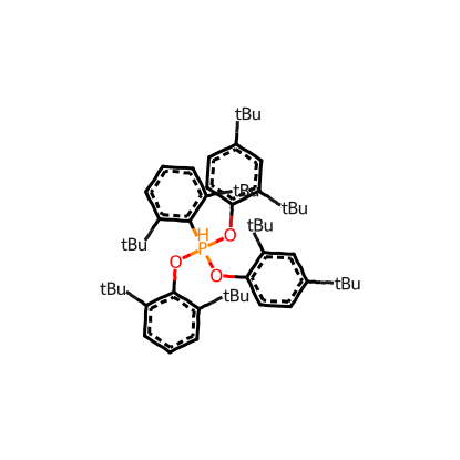 CC(C)(C)c1ccc(O[PH](Oc2ccc(C(C)(C)C)cc2C(C)(C)C)(Oc2c(C(C)(C)C)cccc2C(C)(C)C)c2c(C(C)(C)C)cccc2C(C)(C)C)c(C(C)(C)C)c1